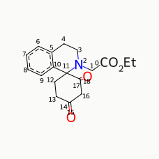 CCOC(=O)CN1CCc2ccccc2C12CCC(=O)CC2=O